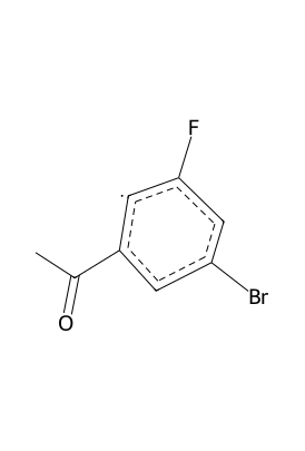 CC(=O)c1[c]c(F)cc(Br)c1